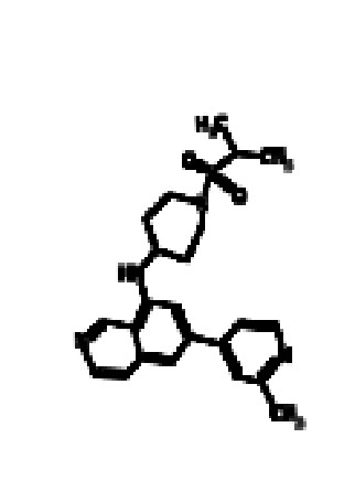 Cc1cc(-c2cc(NC3CCN(S(=O)(=O)C(C)C)CC3)c3cnccc3c2)ccn1